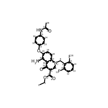 CCOC(=O)c1cn(Cc2c(F)cccc2F)c2ccc(Oc3ccc(NC(C)=O)cc3)c(N)c2c1=O